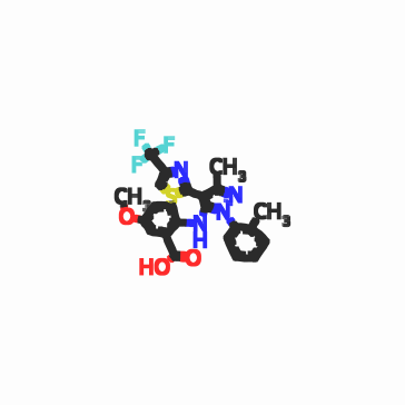 COc1ccc(Nc2c(-c3nc(C(F)(F)F)cs3)c(C)nn2-c2ccccc2C)c(C(=O)O)c1